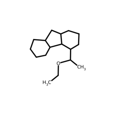 CCOC(C)C1CCCC2CC3CCCCC3C21